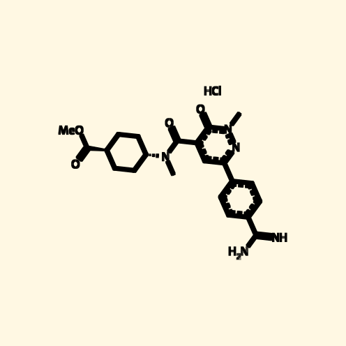 COC(=O)[C@H]1CC[C@H](N(C)C(=O)c2cc(-c3ccc(C(=N)N)cc3)nn(C)c2=O)CC1.Cl